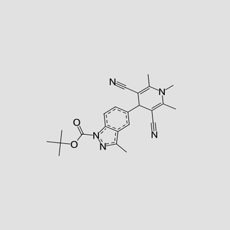 CC1=C(C#N)C(c2ccc3c(c2)c(C)nn3C(=O)OC(C)(C)C)C(C#N)=C(C)N1C